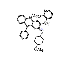 COc1ncccc1Nc1cc2nc3ccccc3n(-c3ccccc3)c-2c/c1=N\C1CCC(OC)CC1